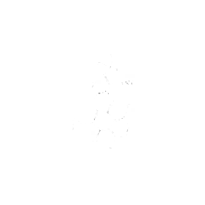 N#Cc1nc(CC2=C(C3CC3)C(=O)c3c(F)ccc(F)c3C2=O)ccc1C(F)(F)F